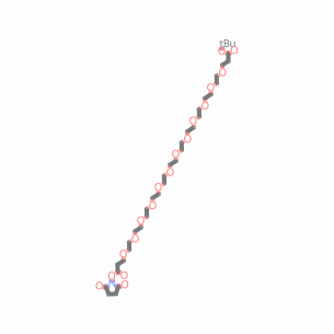 CC(C)(C)OC(=O)CCOCCOCCOCCOCCOCCOCCOCCOCCOCCOCCOCCOCCC(=O)ON1C(=O)CCC1=O